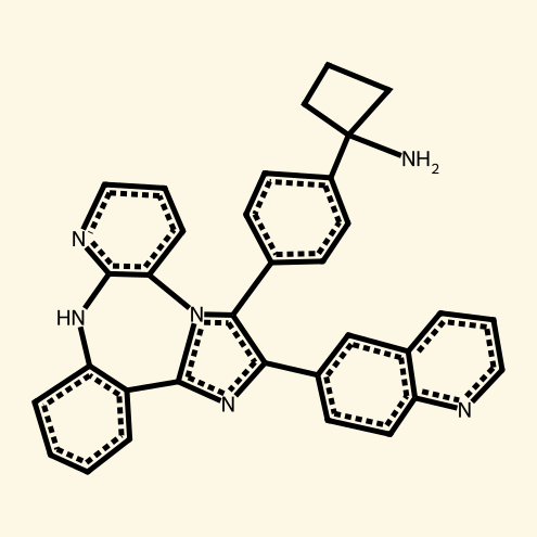 NC1(c2ccc(-c3c(-c4ccc5ncccc5c4)nc4n3-c3cccnc3Nc3ccccc3-4)cc2)CCC1